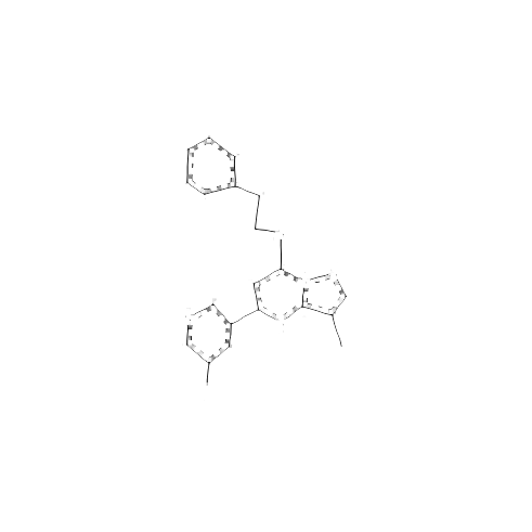 Cc1cnn2c(NCCc3ccccc3)cc(-c3cncc(F)c3)nc12